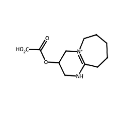 O=C(O)C(=O)OC1CNC2=[N+](CCCCC2)C1